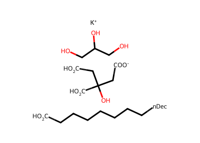 CCCCCCCCCCCCCCCCCC(=O)O.O=C([O-])CC(O)(CC(=O)O)C(=O)O.OCC(O)CO.[K+]